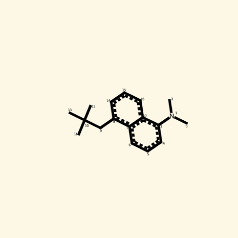 CN(C)c1cccc2c(CC(C)(C)C)cccc12